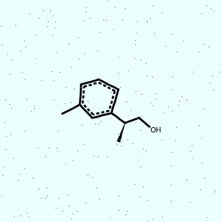 Cc1cccc([C@H](C)CO)c1